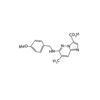 COc1ccc(CNc2nn3c(C(=O)O)cnc3cc2C)cc1